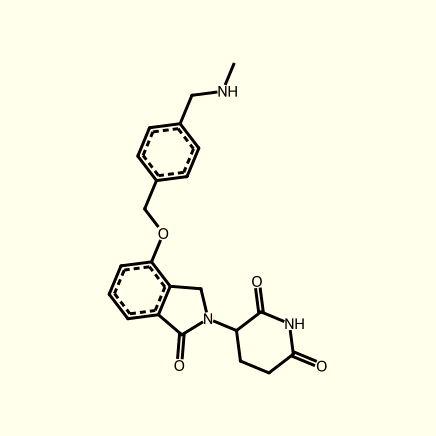 CNCc1ccc(COc2cccc3c2CN(C2CCC(=O)NC2=O)C3=O)cc1